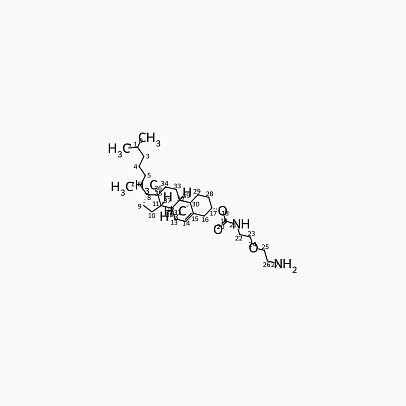 CC(C)CCC[C@@H](C)[C@H]1CC[C@H]2[C@@H]3CC=C4C[C@@H](OC(=O)NCCOCCN)CC[C@]4(C)[C@H]3CC[C@]12C